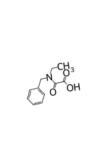 CCN(Cc1ccccc1)C(=O)C(=O)O